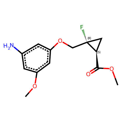 COC(=O)[C@@H]1C[C@]1(F)COc1cc(N)cc(OC)c1